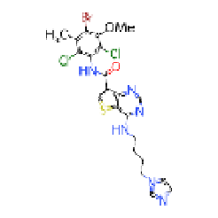 COc1c(Cl)c(NC(=O)c2csc3c(NCCCCn4ccnc4)ncnc23)c(Cl)c(C)c1Br